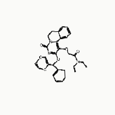 CCN(CC)C(=O)COc1c(OC(C2=CC=CCC2)C2=COC=CO2)nc(=O)n2c1-c1ccccc1CC2